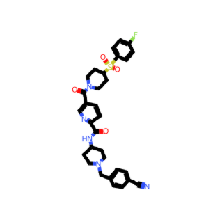 N#Cc1ccc(CN2CCC(NC(=O)c3ccc(C(=O)N4CCC(S(=O)(=O)c5ccc(F)cc5)CC4)cn3)CC2)cc1